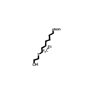 CCC.CCCCCCCCCCCCCCCCSCCO